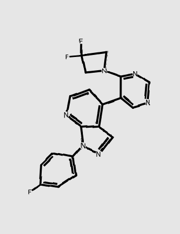 Fc1ccc(-n2ncc3c(-c4cncnc4N4CC(F)(F)C4)ccnc32)cc1